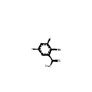 COC(=O)c1cc(F)cc(I)c1O